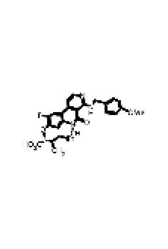 COc1ccc(CNc2nccc3c2c(=O)n(C)c2cc(ON(C(=O)O)C(C)CC(C)C)c(F)cc32)cc1